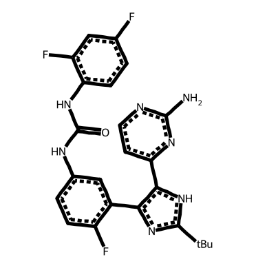 CC(C)(C)c1nc(-c2cc(NC(=O)Nc3ccc(F)cc3F)ccc2F)c(-c2ccnc(N)n2)[nH]1